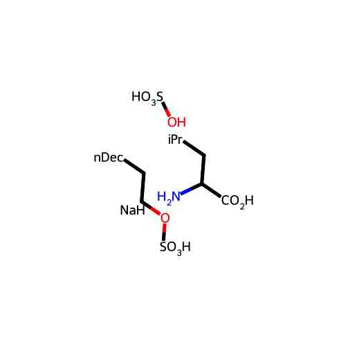 CC(C)CC(N)C(=O)O.CCCCCCCCCCCCOS(=O)(=O)O.O=S(=O)(O)O.[NaH]